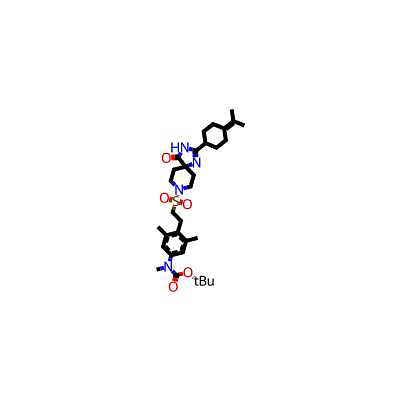 CC(C)=C1CCC(C2=NC3(CCN(S(=O)(=O)CCc4c(C)cc(N(C)C(=O)OC(C)(C)C)cc4C)CC3)C(=O)N2)CC1